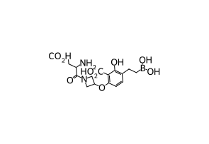 NC(CC(=O)O)C(=O)N1CC(Oc2ccc(CCB(O)O)c(O)c2C(=O)O)C1